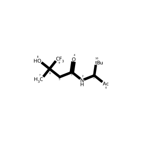 CC(=O)C(NC(=O)CC(C)(O)C(F)(F)F)C(C)(C)C